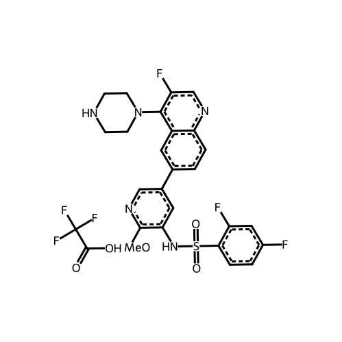 COc1ncc(-c2ccc3ncc(F)c(N4CCNCC4)c3c2)cc1NS(=O)(=O)c1ccc(F)cc1F.O=C(O)C(F)(F)F